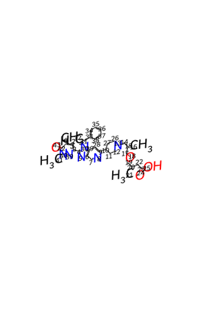 Cc1cc(-c2nc3cnc(C4CCN(CC(C)COCC(C)CC(=O)O)CC4)cc3n2[C@@H](C)c2ccccc2)nn(C)c1=O